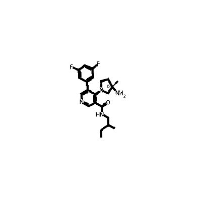 CCC(C)CNC(=O)c1cncc(-c2cc(F)cc(F)c2)c1N1CC[C@](C)(N)C1